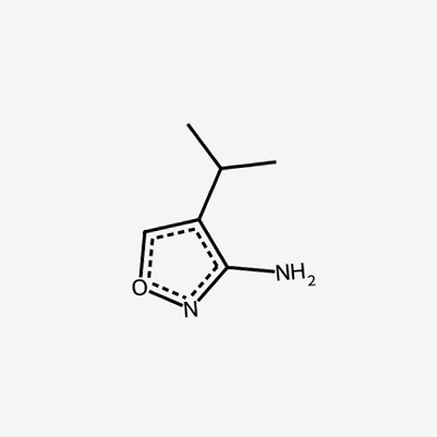 CC(C)c1conc1N